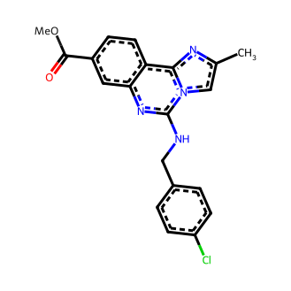 COC(=O)c1ccc2c(c1)nc(NCc1ccc(Cl)cc1)n1cc(C)nc21